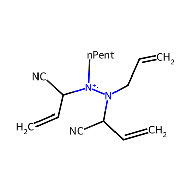 C=CCN(C(C#N)C=C)[N+](CCCCC)C(C#N)C=C